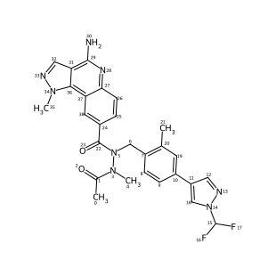 CC(=O)N(C)N(Cc1ccc(-c2cnn(C(F)F)c2)cc1C)C(=O)c1ccc2nc(N)c3cnn(C)c3c2c1